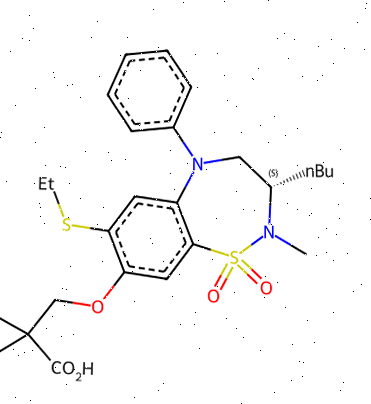 CCCC[C@H]1CN(c2ccccc2)c2cc(SCC)c(OCC3(C(=O)O)CC3)cc2S(=O)(=O)N1C